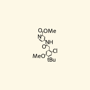 COC(=O)c1cc(NC(=O)Cc2cc(OC)c(C(C)(C)C)cc2Cl)ccn1